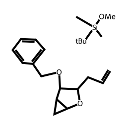 C=CCC1OC2CC2C1OCc1ccccc1.CO[Si](C)(C)C(C)(C)C